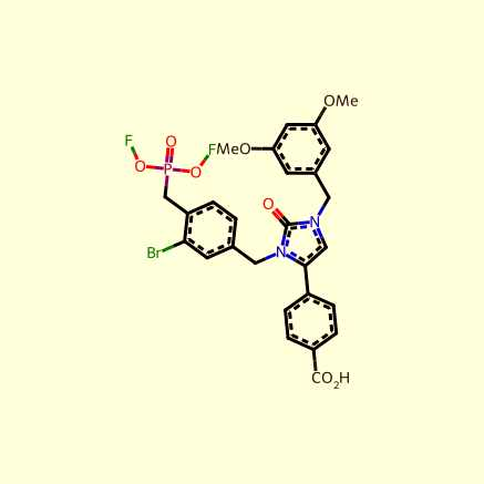 COc1cc(Cn2cc(-c3ccc(C(=O)O)cc3)n(Cc3ccc(CP(=O)(OF)OF)c(Br)c3)c2=O)cc(OC)c1